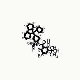 Cc1c(Br)cc(C(C)(C)C)c(O)c1C(=O)Nc1ccc(C(c2ccccc2)(c2ccccc2)c2ccccc2)cc1[N+](=O)[O-]